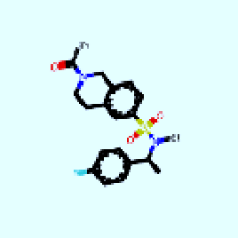 CCN(C(C)c1ccc(F)cc1)S(=O)(=O)c1ccc2c(c1)CCN(C(=O)C(C)C)C2